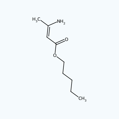 CCCCCOC(=O)/C=C(/C)N